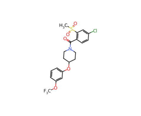 CS(=O)(=O)c1cc(Cl)ccc1C(=O)N1CCC(Oc2cccc(OC(F)(F)F)c2)CC1